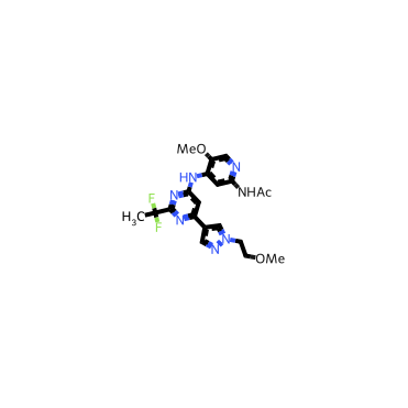 COCCn1cc(-c2cc(Nc3cc(NC(C)=O)ncc3OC)nc(C(C)(F)F)n2)cn1